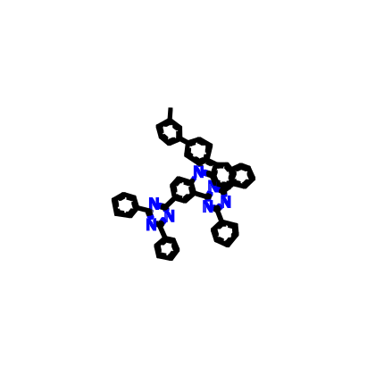 Cc1cccc(-c2ccc3c4ccccc4n(-c4ccc(-c5nc(-c6ccccc6)nc(-c6ccccc6)n5)cc4-c4nc(-c5ccccc5)nc(-c5ccccc5)n4)c3c2)c1